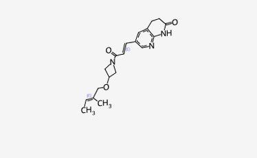 C/C=C(\C)COC1CN(C(=O)/C=C/c2cnc3c(c2)CCC(=O)N3)C1